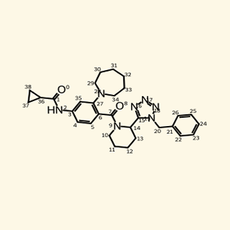 O=C(Nc1ccc(C(=O)N2CCCCC2c2nnnn2Cc2ccccc2)c(N2CCCCCC2)c1)C1CC1